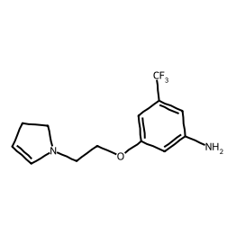 Nc1cc(OCCN2C=CCC2)cc(C(F)(F)F)c1